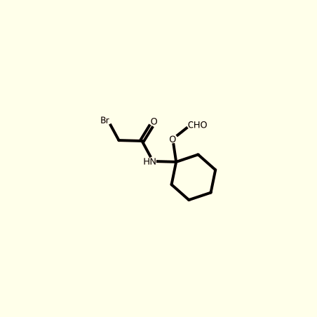 O=COC1(NC(=O)CBr)CCCCC1